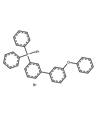 CCC[P+](c1ccccc1)(c1ccccc1)c1cccc(-c2cccc(Oc3ccccc3)c2)c1.[Br-]